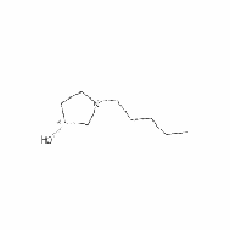 CCCCCN1CC[C@@H](O)C1